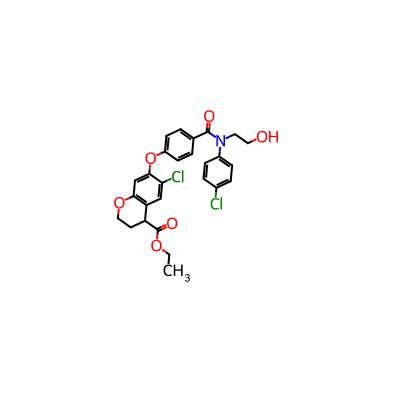 CCOC(=O)C1CCOc2cc(Oc3ccc(C(=O)N(CCO)c4ccc(Cl)cc4)cc3)c(Cl)cc21